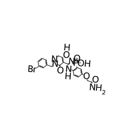 NC(=O)COc1ccc2c(c1)P(=O)(O)N=C(c1c(O)cnn(Cc3cccc(Br)c3)c1=O)N2